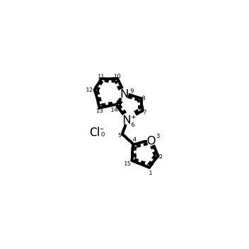 [Cl-].c1coc(C[n+]2ccn3ccccc32)c1